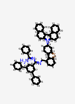 N/C(=N\C(=N/Cc1cccc2sc3cc(-n4c5ccc6ccccc6c5c5c6ccccc6ccc54)ccc3c12)c1cc(-c2ccccc2)cc(-c2ccccc2)c1)c1ccccc1